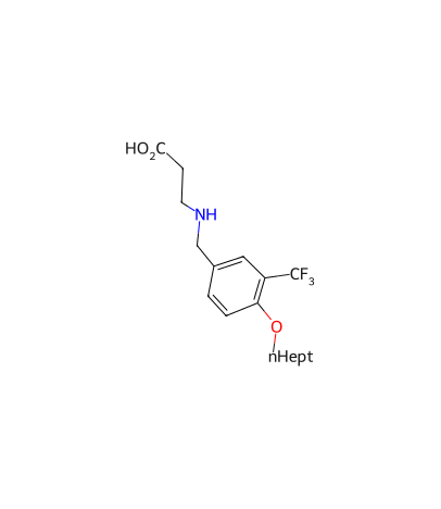 CCCCCCCOc1ccc(CNCCC(=O)O)cc1C(F)(F)F